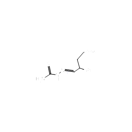 CCCC(C)CC(/C=N/NC(N)=S)CCC